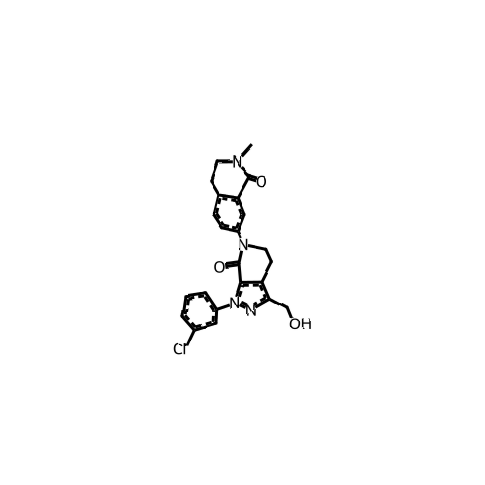 CN1CCc2ccc(N3CCc4c(CO)nn(-c5cccc(Cl)c5)c4C3=O)cc2C1=O